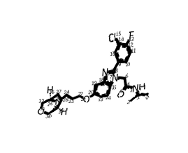 CC(C)NC(=O)Cn1c(-c2ccc(F)c(Cl)c2)nc2cc(OCCCN3[C@@H]4CC[C@H]3COC4)ccc21